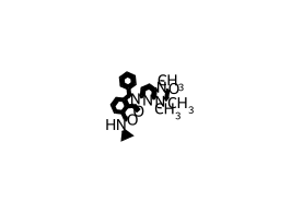 CC1C(=O)N(C)c2ccc(N3C(=O)C4=C(C=CCC4C(=O)NC4CC4)C3c3ccccc3)nc2N1C